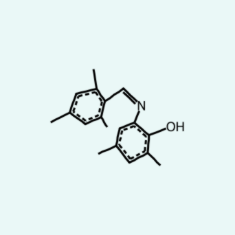 Cc1cc(C)c(/C=N\c2cc(C)cc(C)c2O)c(C)c1